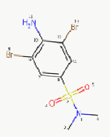 CN(C)S(=O)(=O)c1cc(Br)c(N)c(Br)c1